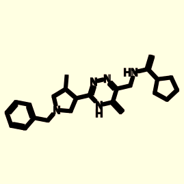 C=C1NC(C2CN(Cc3ccccc3)CC2C)=NN=C1CNC(=C)C1CCCC1